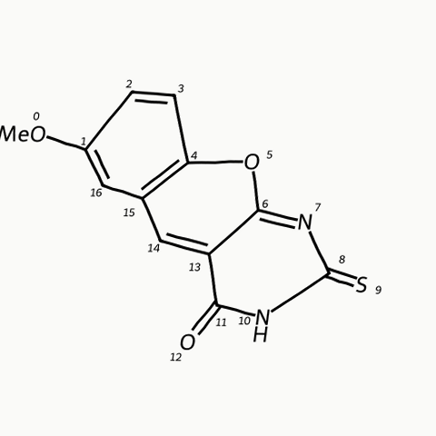 COc1ccc2oc3nc(=S)[nH]c(=O)c-3cc2c1